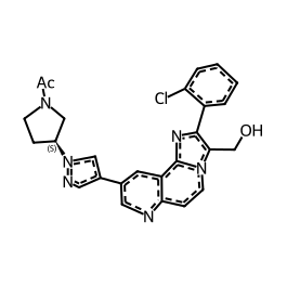 CC(=O)N1CC[C@H](n2cc(-c3cnc4ccn5c(CO)c(-c6ccccc6Cl)nc5c4c3)cn2)C1